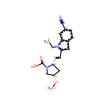 CCn1c(C=C[C@@H]2C[C@H](OC)CN2C(=O)O)cc2ccc(C#N)cc21